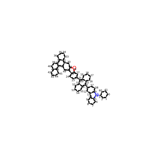 c1ccc(-n2c3ccccc3c3cc(-c4c5ccccc5c(-c5ccc6c(c5)oc5cc7c8ccccc8c8ccc9ccccc9c8c7cc56)c5ccccc45)ccc32)cc1